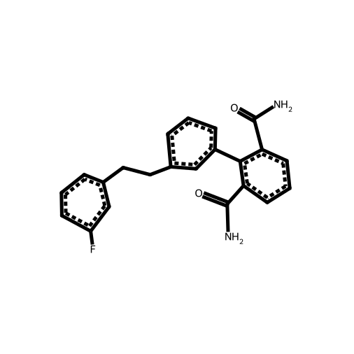 NC(=O)c1cccc(C(N)=O)c1-c1cccc(CCc2cccc(F)c2)c1